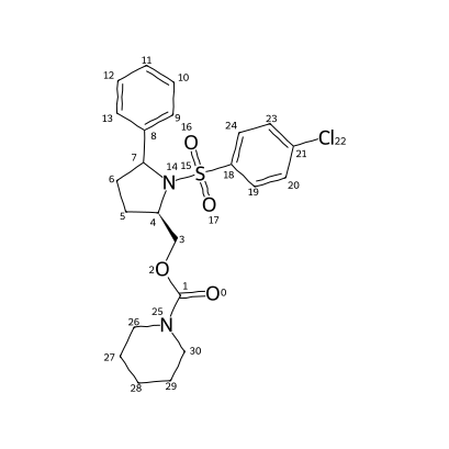 O=C(OC[C@H]1CCC(c2ccccc2)N1S(=O)(=O)c1ccc(Cl)cc1)N1CCCCC1